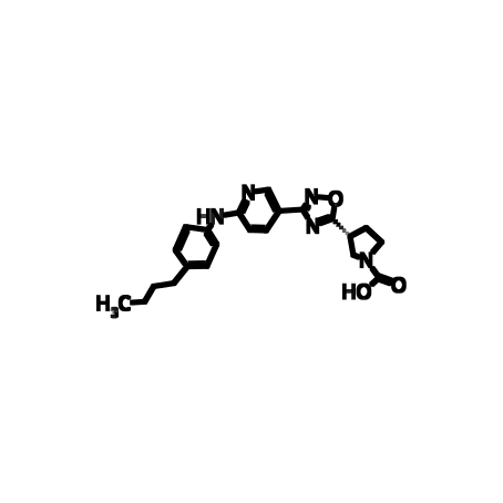 CCCCc1ccc(Nc2ccc(-c3noc([C@@H]4CCN(C(=O)O)C4)n3)cn2)cc1